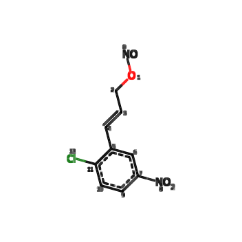 O=NOCC=Cc1cc([N+](=O)[O-])ccc1Cl